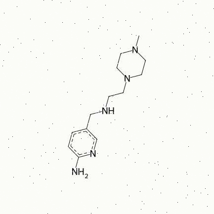 CN1CCN(CCNCc2ccc(N)nc2)CC1